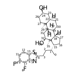 CC(CCc1nc2c(F)c(F)ccc2s1)[C@H]1CC[C@H]2[C@@H]3CC[C@@H]4C[C@H](O)CC[C@]4(C)[C@H]3C[C@H](O)[C@]12C